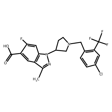 Cc1nn(C2CCN(Cc3ccc(Cl)cc3C(F)(F)F)C2)c2cc(F)c(C(=O)O)cc12